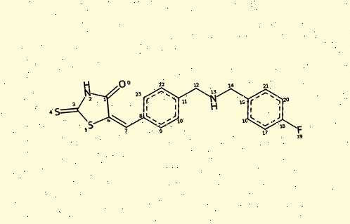 O=C1NC(=S)S/C1=C/c1ccc(CNCc2ccc(F)cc2)cc1